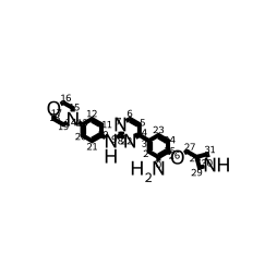 Nc1cc(-c2ccnc(Nc3ccc(N4CCOCC4)cc3)n2)ccc1OCC1CNC1